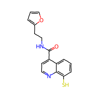 O=C(NCCc1ccco1)c1ccnc2c(S)cccc12